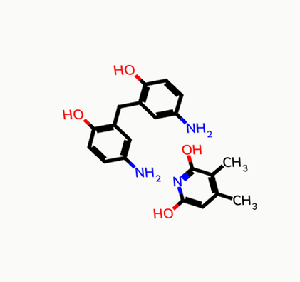 Cc1cc(O)nc(O)c1C.Nc1ccc(O)c(Cc2cc(N)ccc2O)c1